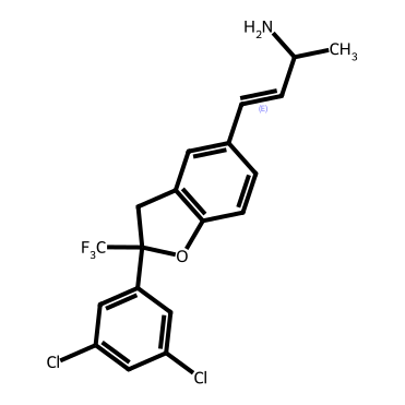 CC(N)/C=C/c1ccc2c(c1)CC(c1cc(Cl)cc(Cl)c1)(C(F)(F)F)O2